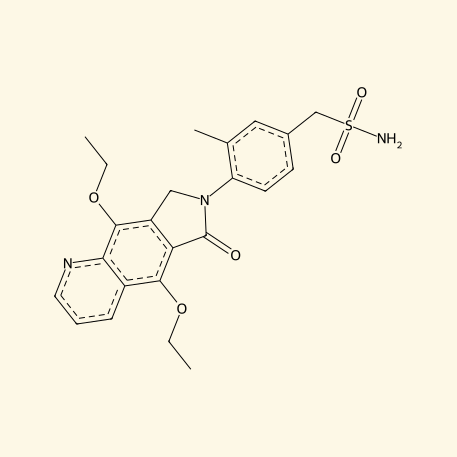 CCOc1c2c(c(OCC)c3ncccc13)CN(c1ccc(CS(N)(=O)=O)cc1C)C2=O